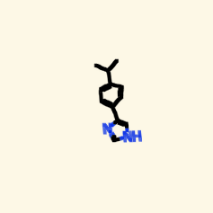 CC(C)c1ccc(-c2c[nH]cn2)cc1